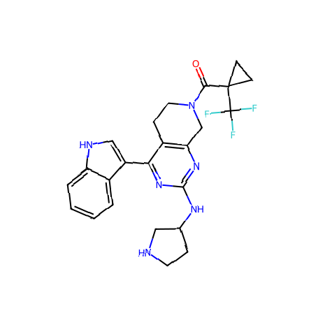 O=C(N1CCc2c(nc(NC3CCNC3)nc2-c2c[nH]c3ccccc23)C1)C1(C(F)(F)F)CC1